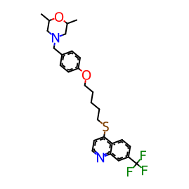 CC1CN(Cc2ccc(OCCCCCSc3ccnc4cc(C(F)(F)F)ccc34)cc2)CC(C)O1